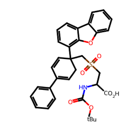 CC(C)(C)OC(=O)NC(CS(=O)(=O)CC1(c2cccc3c2oc2ccccc23)C=CC(c2ccccc2)=CC1)C(=O)O